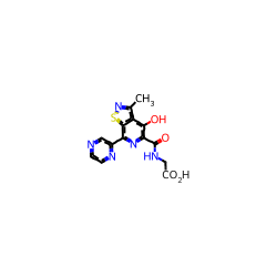 Cc1nsc2c(-c3cnccn3)nc(C(=O)NCC(=O)O)c(O)c12